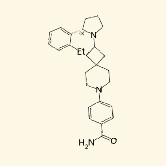 CCc1ccccc1[C@@H]1CCCN1C1CC2(CCN(c3ccc(C(N)=O)cc3)CC2)C1